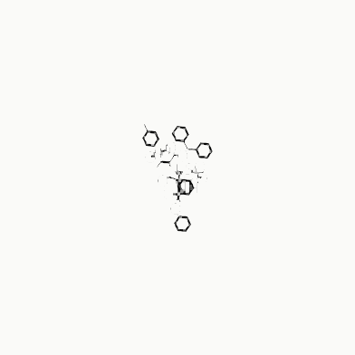 CC(=C(C(=O)OC(c1ccccc1)c1ccccc1)N1C(=O)[C@@H](NC(=O)COc2ccccc2)[C@H]1SS(=O)(=O)c1ccc(C)cc1)S(=O)(=O)c1ccc(C)cc1